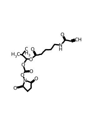 C#CC(=O)NCCCCC(=O)OC(OC(=O)ON1C(=O)CCC1=O)C(C)C